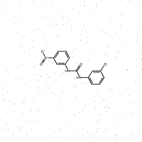 O=C(Nc1cccc(Cl)c1)Nc1cccc([N+](=O)[O-])c1